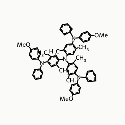 COc1ccc(N(c2ccccc2)c2cc(C)c(N(c3cc(C)c(N(c4ccccc4)c4ccc(OC)cc4)cc3C)c3cc(C)c(N(c4ccccc4)c4ccc(OC)cc4)cc3C)cc2C)cc1